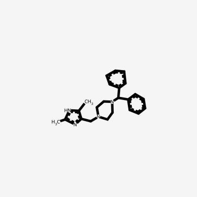 Cc1nc(CN2CCN(C(c3ccccc3)c3ccccc3)CC2)c(C)[nH]1